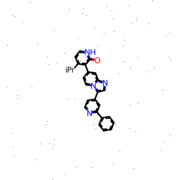 CC(C)c1cc[nH]c(=O)c1-c1ccn2c(-c3ccnc(-c4ccccc4)c3)cnc2c1